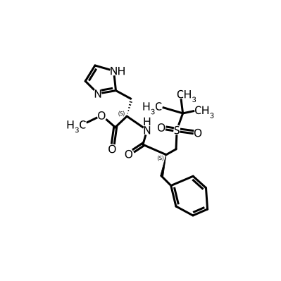 COC(=O)[C@H](Cc1ncc[nH]1)NC(=O)[C@H](Cc1ccccc1)CS(=O)(=O)C(C)(C)C